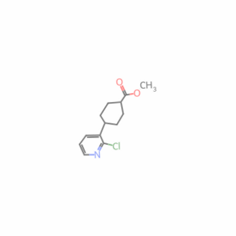 COC(=O)C1CCC(c2cccnc2Cl)CC1